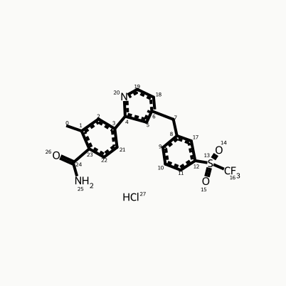 Cc1cc(-c2cc(Cc3cccc(S(=O)(=O)C(F)(F)F)c3)ccn2)ccc1C(N)=O.Cl